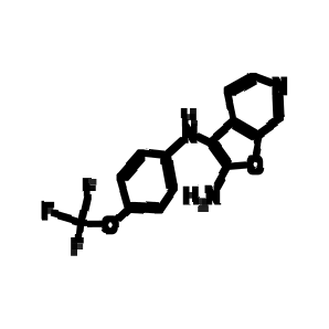 Nc1oc2cnccc2c1Nc1ccc(OC(F)(F)F)cc1